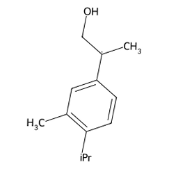 C[C](CO)c1ccc(C(C)C)c(C)c1